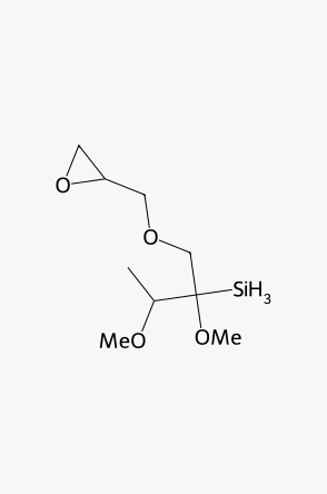 COC(C)C([SiH3])(COCC1CO1)OC